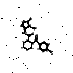 C=C(Nc1snc(C)c1C#N)C1CCCCC1C(=O)c1ccc(Br)cc1